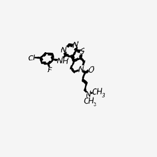 CN(C)CC=CC(=O)N1CCc2c(sc3ncnc(Nc4ccc(Cl)cc4F)c23)C1